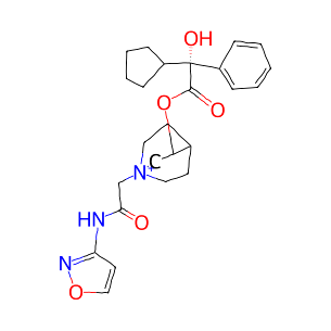 O=C(C[N+]12CCC(CC1)C(OC(=O)[C@](O)(c1ccccc1)C1CCCC1)C2)Nc1ccon1